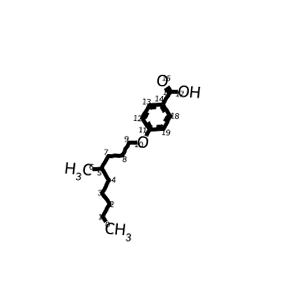 CCCCCC(C)CCCOc1ccc(C(=O)O)cc1